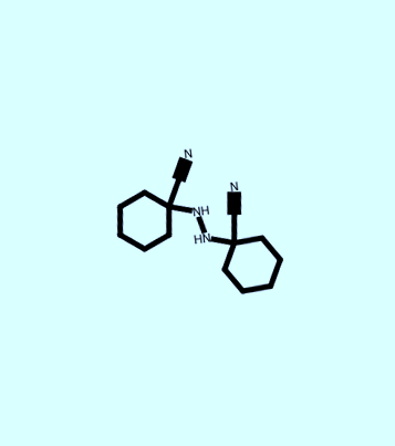 N#CC1(NNC2(C#N)CCCCC2)CCCCC1